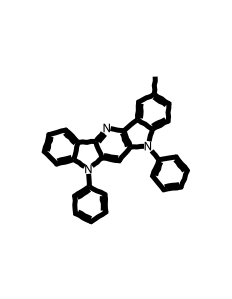 Cc1ccc2c(c1)c1nc3c4ccccc4n(-c4ccccc4)c3cc1n2-c1ccccc1